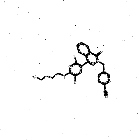 CCOCCNc1nc(F)c(-c2nn(Cc3ccc(C#N)cc3)c(=O)c3ccccc23)cc1Cl